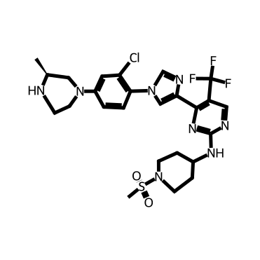 C[C@H]1CN(c2ccc(-n3cnc(-c4nc(NC5CCN(S(C)(=O)=O)CC5)ncc4C(F)(F)F)c3)c(Cl)c2)CCN1